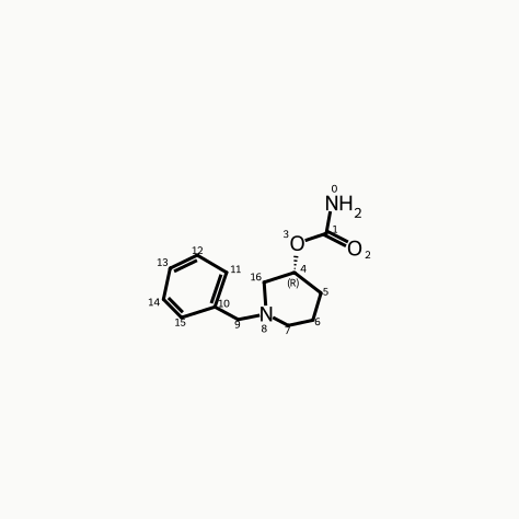 NC(=O)O[C@@H]1CCCN(Cc2ccccc2)C1